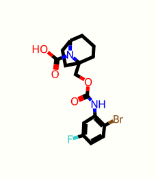 O=C(Nc1cc(F)ccc1Br)OCC12CCCC(CC1)N2C(=O)O